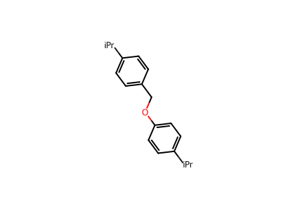 CC(C)c1ccc(COc2ccc(C(C)C)cc2)cc1